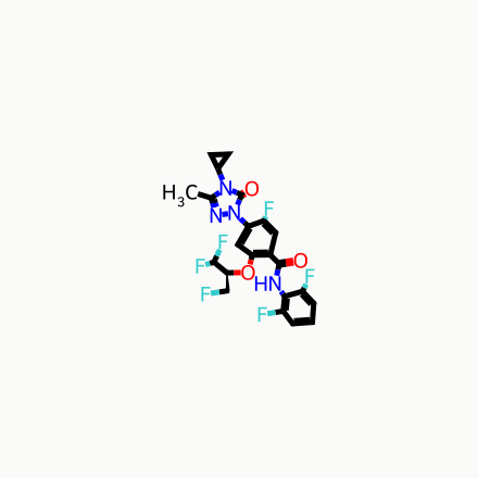 Cc1nn(-c2cc(O[C@@H](CF)C(F)F)c(C(=O)Nc3c(F)cccc3F)cc2F)c(=O)n1C1CC1